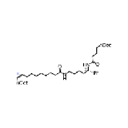 CCCCCCCC/C=C\CCCCCCCC(=O)NCCCC[C@H](NC(=O)CCCCCCCCCCCCC)C(C)C